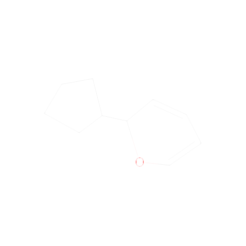 C1=COC(C2CCCC2)C=C1